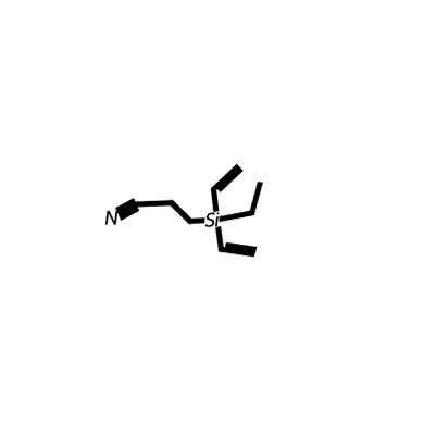 C=C[Si](C=C)(CC)CCC#N